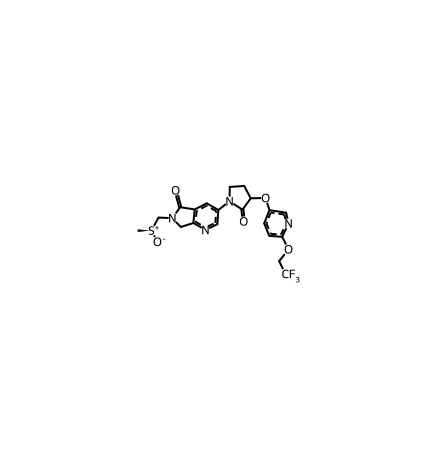 C[S@+]([O-])CN1Cc2ncc(N3CCC(Oc4ccc(OCC(F)(F)F)nc4)C3=O)cc2C1=O